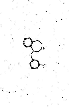 Clc1cccc(OC2CNCCc3ccccc32)c1